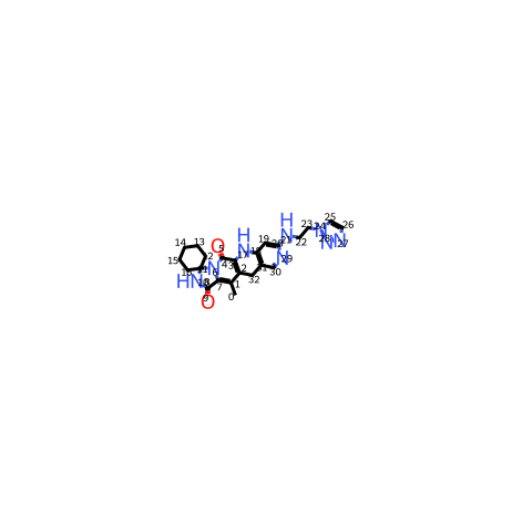 Cc1c2c(c(=O)n3c1C(=O)NC31CCCCC1)Nc1cc(NCCn3ccnn3)ncc1C2